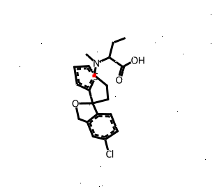 CCC(C(=O)O)N(C)CCCC1(c2cccs2)OCc2cc(Cl)ccc21